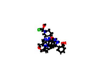 Nc1nnc(-c2ccccc2O)cc1N1C[C@H]2COC[C@@H](C1)N2c1cccc(OC2CCN(C(=O)Cl)CC2)c1